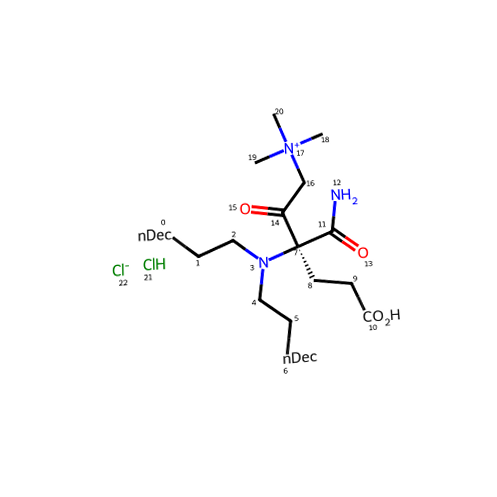 CCCCCCCCCCCCN(CCCCCCCCCCCC)[C@](CCC(=O)O)(C(N)=O)C(=O)C[N+](C)(C)C.Cl.[Cl-]